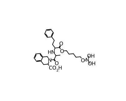 CC(NC(CCc1ccccc1)C(=O)OCCCCCON(O)O)C(=O)N1Cc2ccccc2CC1C(=O)O